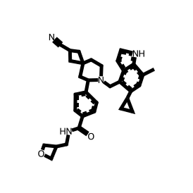 Cc1cc(C2CC2)c(CN2CCC3(CC(C#N)C3)CC2c2ccc(C(=O)NCC3COC3)cc2)c2cc[nH]c12